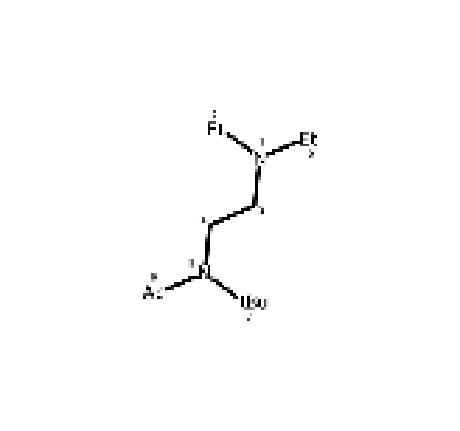 CCN(CC)CCN(C(C)=O)C(C)(C)C